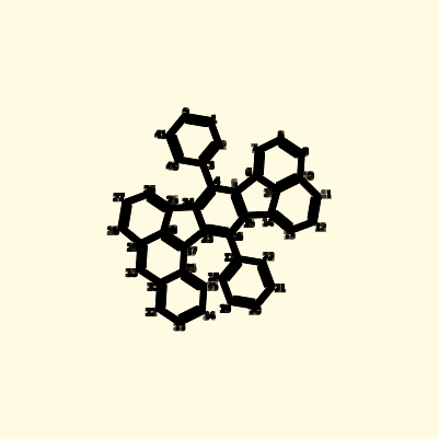 c1ccc(-c2c3c4cccc5cccc(c3c(-c3ccccc3)c3c2c2cccc6cc7ccccc7c3c62)c54)cc1